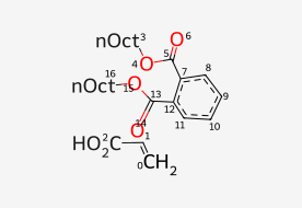 C=CC(=O)O.CCCCCCCCOC(=O)c1ccccc1C(=O)OCCCCCCCC